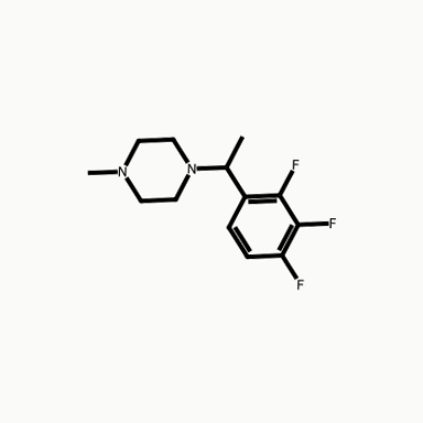 CC(c1ccc(F)c(F)c1F)N1CCN(C)CC1